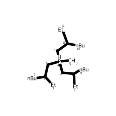 CCCCC(CC)C[PH](C)(CC(CC)CCCC)CC(CC)CCCC